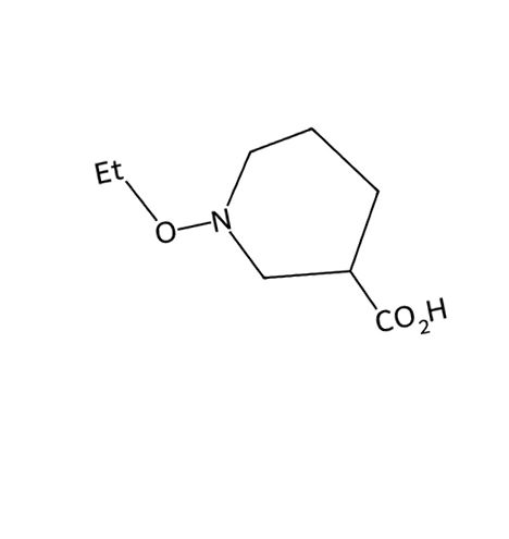 CCON1CCCC(C(=O)O)C1